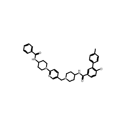 Cc1ccc(-c2cc(C(=O)NC3CCN(Cc4ccc(N5CCC(NC(=O)c6ccccc6)CC5)nc4)CC3)ccc2Cl)cc1